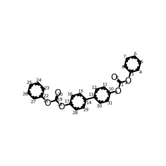 O=C(Oc1ccccc1)Oc1ccc(-c2ccc(OC(=O)Oc3ccccc3)cc2)cc1